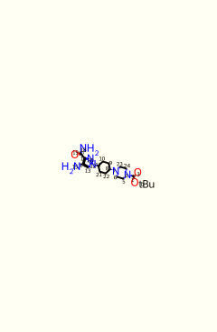 CC(C)(C)OC(=O)N1CCN([C@H]2CC[C@H](n3cc(N)c(C(N)=O)n3)CC2)CC1